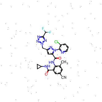 Cc1cc(C#N)cc(C(=O)NC2CC2)c1NC(=O)c1cc(Cn2nnc(C(F)F)n2)nn1-c1ncccc1Cl